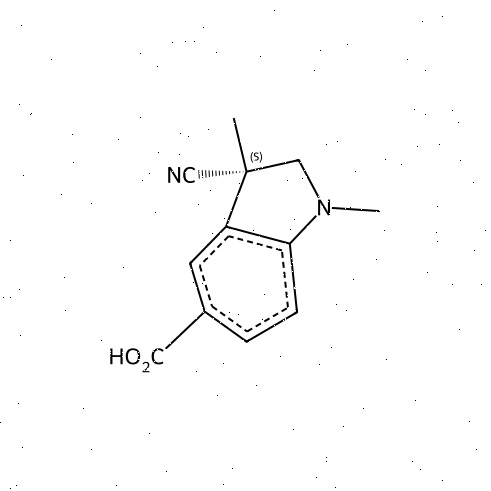 CN1C[C@@](C)(C#N)c2cc(C(=O)O)ccc21